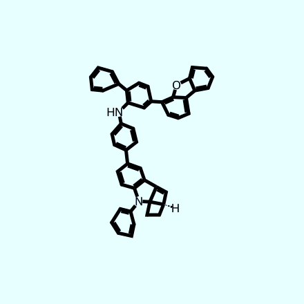 C1=C2c3cc(-c4ccc(Nc5cc(-c6cccc7c6oc6ccccc67)ccc5-c5ccccc5)cc4)ccc3N(c3ccccc3)C23CC[C@H]13